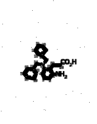 Nc1cccc(N(Cc2ccccc2)Cc2ccccc2)c1C=CC(=O)O